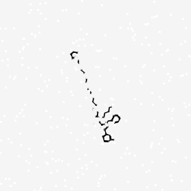 CC(C)(C)[C@H](c1nc(-c2cc(F)ccc2F)cn1Cc1ccccc1)N(CC[C@H](N)CF)C(=O)CNC(=O)CCOCCOCCOCCOCCN1C(=O)C=CC1=O